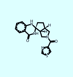 O=C1N[C@]2(CC[C@@H]3CN(C(=O)c4cscn4)C[C@@H]32)Nc2ccccc21